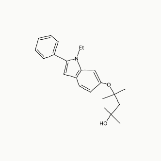 CCn1c(-c2ccccc2)cc2ccc(OC(C)(C)CC(C)(C)O)cc21